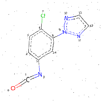 O=C=Nc1ccc(Cl)c(-n2nccn2)c1